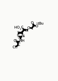 CC(C)(C)OC(=O)CO/N=C(\C(=O)O)c1csc(NC(=O)CCl)n1